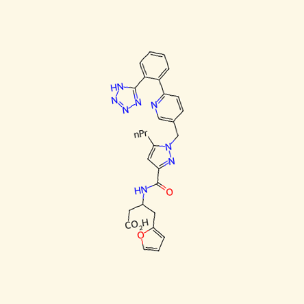 CCCc1cc(C(=O)NC(CC(=O)O)Cc2ccco2)nn1Cc1ccc(-c2ccccc2-c2nnn[nH]2)nc1